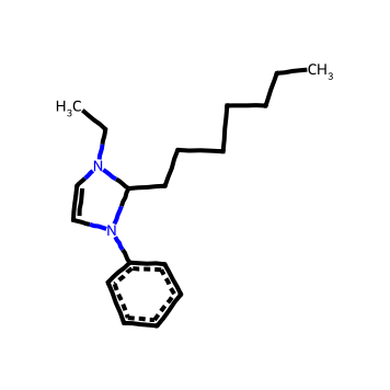 CCCCCCCC1N(CC)C=CN1c1ccccc1